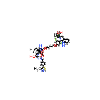 Cc1ncsc1-c1ccc(CNC(=O)[C@@H]2C[C@@H](O)CN2C(=O)C(NC(=O)COCCCCCOc2cc(F)c([C@@H]3c4[nH]c5ccccc5c4C[C@@H](C)N3CC(F)(F)CO)c(F)c2)C(C)(C)C)cc1